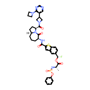 C[C@H](N=[P+]([O-])Oc1ccccc1)C(=O)O[C@@H](F)c1ccc2sc(C(=O)N[C@H]3CCC[C@H]4CC[C@@H](C(=O)N5CC(c6cncnc6N6CCC6)C5)N4C3=O)cc2c1